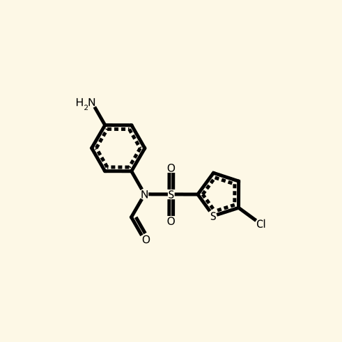 Nc1ccc(N(C=O)S(=O)(=O)c2ccc(Cl)s2)cc1